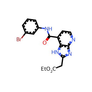 CCOC(=O)Cc1nc2nccc(C(=O)Nc3cccc(Br)c3)c2[nH]1